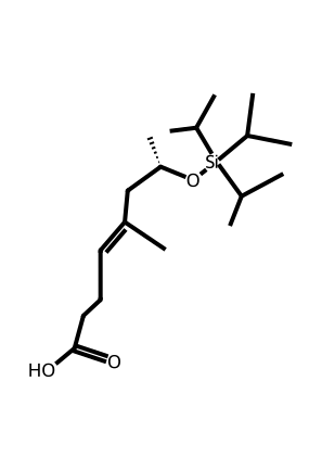 C/C(=C\CCC(=O)O)C[C@H](C)O[Si](C(C)C)(C(C)C)C(C)C